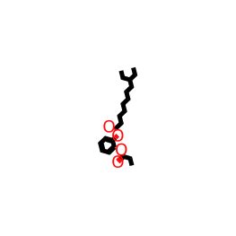 CCC(=O)Oc1ccccc1OC(=O)CCCCCCCC(CC)CC